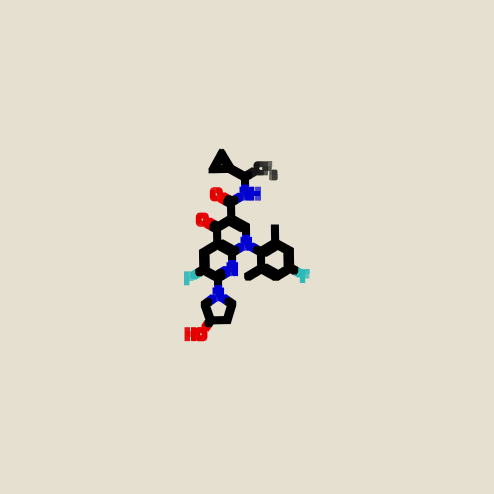 Cc1cc(F)cc(C)c1-n1cc(C(=O)NC(C2CC2)C(F)(F)F)c(=O)c2cc(F)c(N3CCC(O)C3)nc21